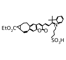 CCOC(=O)C1C2C#Cc3cc4oc(=O)c(/C=C/C5=[N+](CCCCS(=O)(=O)O)c6ccccc6C5(C)C)cc4cc3CCC21